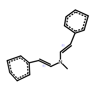 CN(/C=C/c1ccccc1)/C=C/c1ccccc1